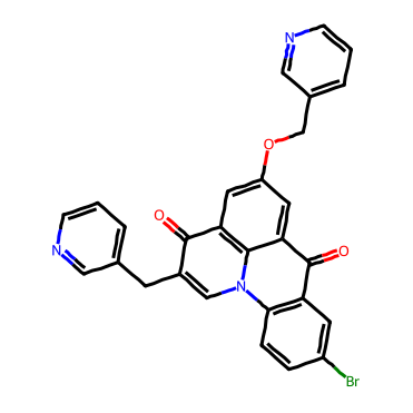 O=c1c(Cc2cccnc2)cn2c3ccc(Br)cc3c(=O)c3cc(OCc4cccnc4)cc1c32